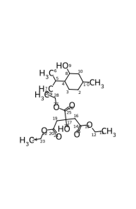 CC1CCC(C(C)C)C(O)C1.CCOC(=O)CC(O)(CC(=O)OCC)C(=O)OCC